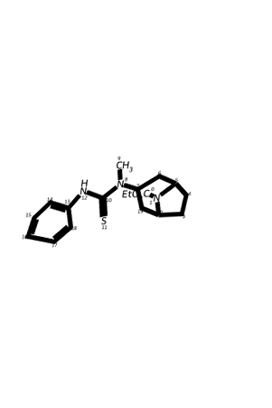 CCOC(=O)N1C2CCC1CC(N(C)C(=S)Nc1ccccc1)C2